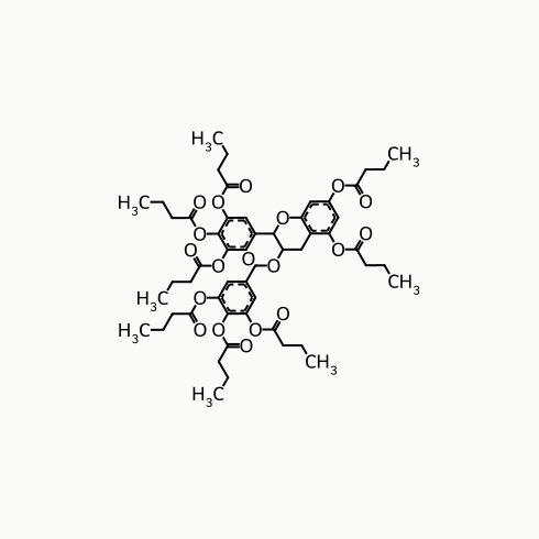 CCCC(=O)Oc1cc(OC(=O)CCC)c2c(c1)OC(c1cc(OC(=O)CCC)c(OC(=O)CCC)c(OC(=O)CCC)c1)C(OC(=O)c1cc(OC(=O)CCC)c(OC(=O)CCC)c(OC(=O)CCC)c1)C2